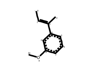 [CH2]C=C(C)c1cccc(OC)c1